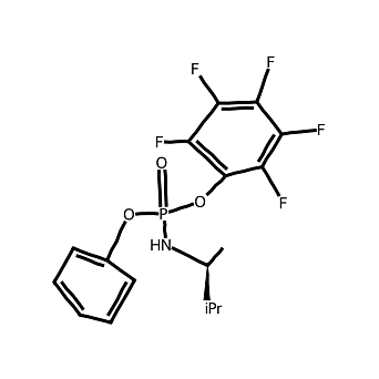 CC(C)[C@H](C)NP(=O)(Oc1ccccc1)Oc1c(F)c(F)c(F)c(F)c1F